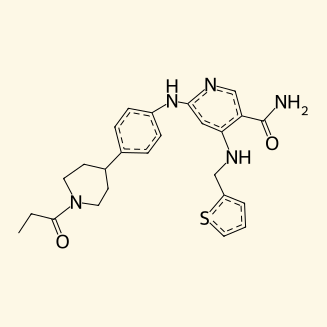 CCC(=O)N1CCC(c2ccc(Nc3cc(NCc4cccs4)c(C(N)=O)cn3)cc2)CC1